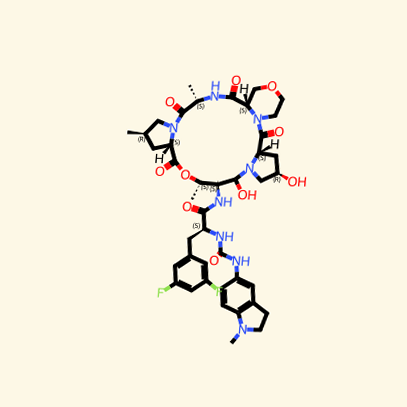 C[C@@H]1C[C@H]2C(=O)O[C@@H](C)[C@H](NC(=O)[C@H](Cc3cc(F)cc(F)c3)NC(=O)Nc3ccc4c(c3)CCN4C)C(O)N3C[C@H](O)C[C@H]3C(=O)N3CCOC[C@H]3C(=O)N[C@@H](C)C(=O)N2C1